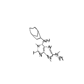 CC(C)N(C)c1nc2c(n1C)N=C(I)N(C)C2NC1CC2CCC1C2